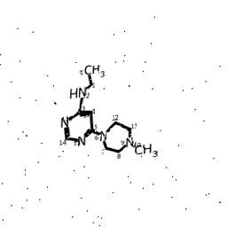 CCNc1cc(N2CCN(C)CC2)ncn1